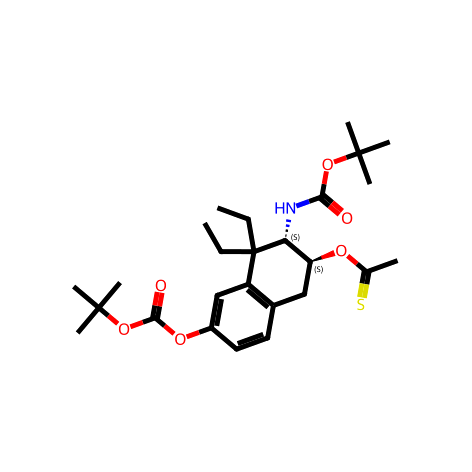 CCC1(CC)c2cc(OC(=O)OC(C)(C)C)ccc2C[C@H](OC(C)=S)[C@H]1NC(=O)OC(C)(C)C